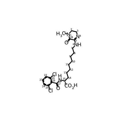 CN1CCN=C(NCCCCCCCC[C@H](NC(=O)c2c(Cl)cccc2Cl)C(=O)O)C1=O